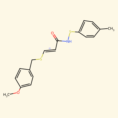 COc1ccc(CS/C=C/C(=O)NSc2ccc(C)cc2)cc1